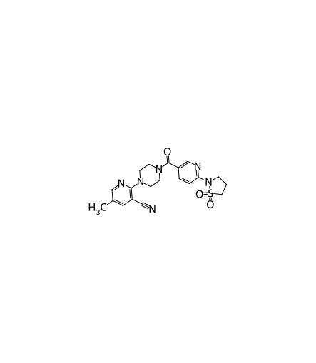 Cc1cnc(N2CCN(C(=O)c3ccc(N4CCCS4(=O)=O)nc3)CC2)c(C#N)c1